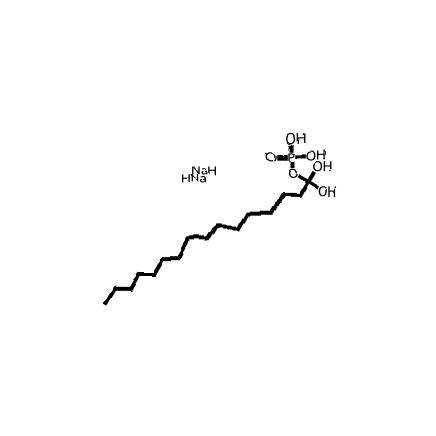 CCCCCCCCCCCCCCCC(O)(O)OP(=O)(O)O.[NaH].[NaH]